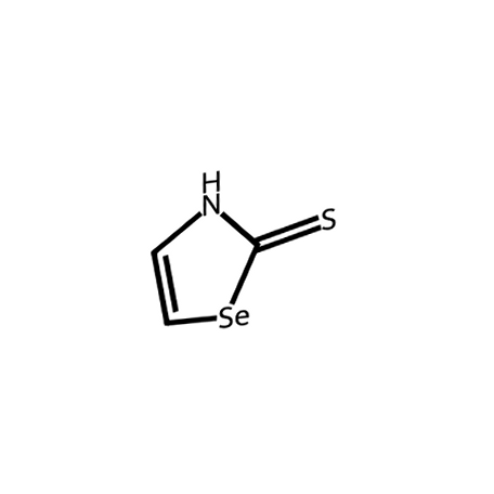 S=c1[nH]cc[se]1